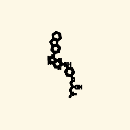 CN(C)CC(O)COc1ccc(Nc2ncc3nnn(-c4ccc5c(c4)CC4=C5C=CCC4)c3n2)cc1